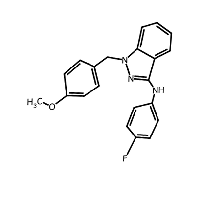 COc1ccc(Cn2nc(Nc3ccc(F)cc3)c3ccccc32)cc1